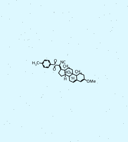 [C-]#[N+]C(=C1CC[C@H]2[C@@H]3CC=C4C=C(OC)CC[C@]4(C)[C@@]3(O)CC[C@]12C)S(=O)(=O)c1ccc(C)cc1